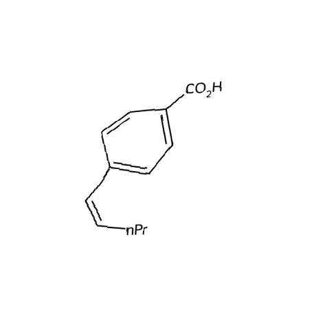 CCC/C=C\c1ccc(C(=O)O)cc1